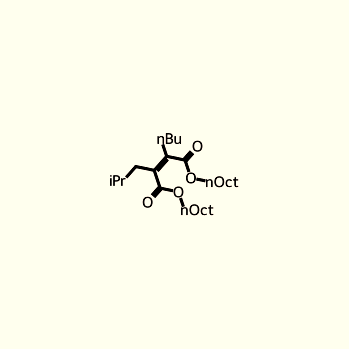 CCCCCCCCOC(=O)C(CCCC)=C(CC(C)C)C(=O)OCCCCCCCC